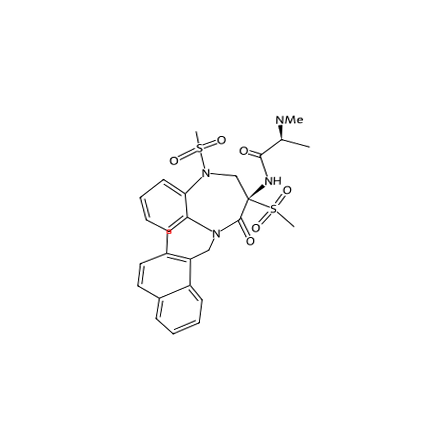 CN[C@@H](C)C(=O)N[C@]1(S(C)(=O)=O)CN(S(C)(=O)=O)c2ccccc2N(Cc2c(C)ccc3ccccc23)C1=O